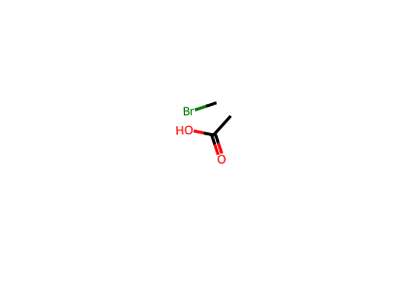 CBr.CC(=O)O